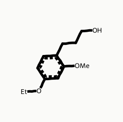 CCOc1ccc(CCCO)c(OC)c1